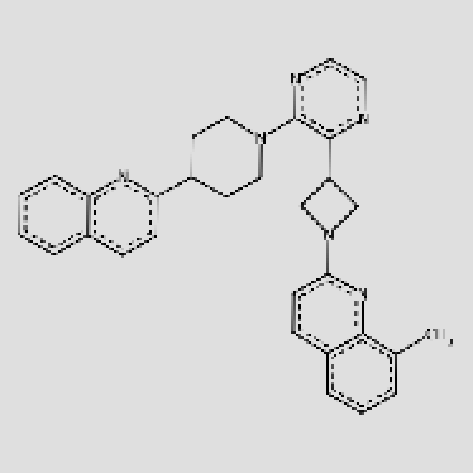 Cc1cccc2ccc(N3CC(c4nccnc4N4CCC(c5ccc6ccccc6n5)CC4)C3)nc12